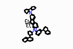 CCC1(CC)c2cc(N(c3cccc(-c4cccc5ccccc45)c3)c3cccc(-c4cccc5ccccc45)c3)ccc2-c2ccc(-n3c4ccccc4c4ccccc43)cc21